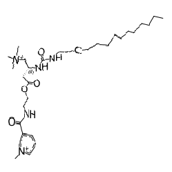 CCCCCCCCCCCCCCNC(=O)N[C@H](CC(=O)OCCNC(=O)c1ccc[n+](C)c1)C[N+](C)(C)C